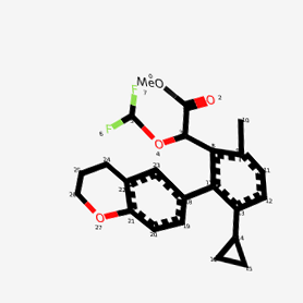 COC(=O)C(OC(F)F)c1c(C)ccc(C2CC2)c1-c1ccc2c(c1)CCCO2